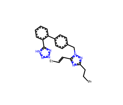 CCC=Cc1nc(CCC(C)C)nn1Cc1ccc(-c2ccccc2-c2nnn[nH]2)cc1